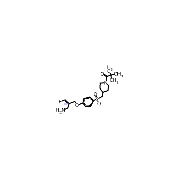 CC(C)(C)C(=O)N1CCC(CS(=O)(=O)c2ccc(OC/C(=C/F)CN)cc2)CC1